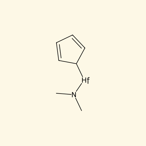 C[N](C)[Hf][CH]1C=CC=C1